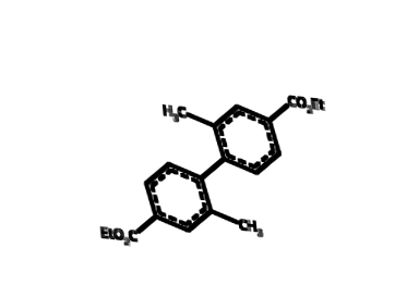 CCOC(=O)c1ccc(-c2ccc(C(=O)OCC)cc2C)c(C)c1